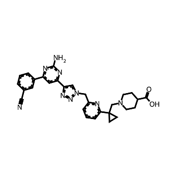 N#Cc1cccc(-c2cc(-c3cn(Cc4cccc(C5(CN6CCC(C(=O)O)CC6)CC5)n4)nn3)nc(N)n2)c1